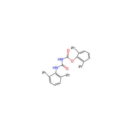 CC(C)c1cccc(C(C)C)c1NC(=O)NC(=O)Oc1c(C(C)C)cccc1C(C)C